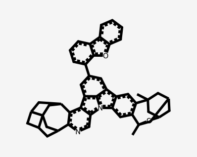 CC12CC3CC(C1)CC(C)(C3)c1cc3c(cc12)c1cc(-c2cccc4c2oc2ccccc24)cc2c4c5c(ncc4n3c12)C1CC2CC3CC5CC23C1